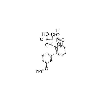 CCCOc1cccc(-c2cccc[n+]2CC(O)(P(=O)(O)O)P(=O)(O)O)c1